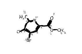 COC(=O)c1cc(Br)c(Cl)c(C)n1